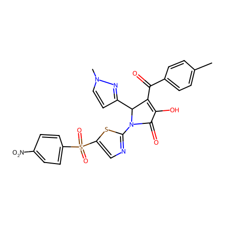 Cc1ccc(C(=O)C2=C(O)C(=O)N(c3ncc(S(=O)(=O)c4ccc([N+](=O)[O-])cc4)s3)C2c2ccn(C)n2)cc1